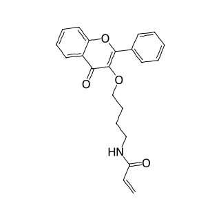 C=CC(=O)NCCCCOc1c(-c2ccccc2)oc2ccccc2c1=O